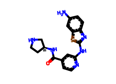 Nc1ccc2nc(Nc3cc(C(=O)N[C@H]4CCNC4)ccn3)sc2c1